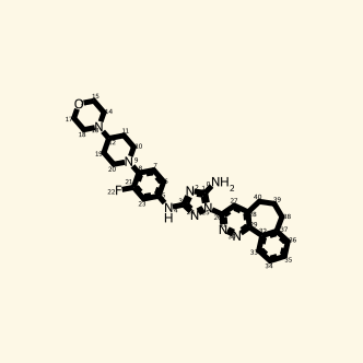 Nc1nc(Nc2ccc(N3CCC(N4CCOCC4)CC3)c(F)c2)nn1-c1cc2c(nn1)-c1ccccc1CCC2